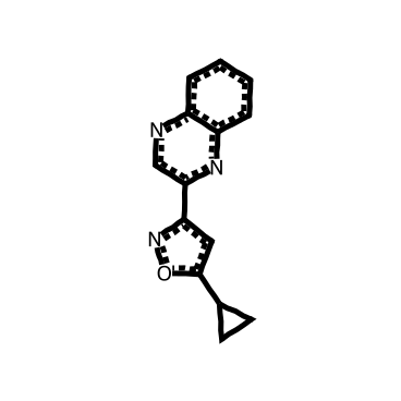 c1ccc2nc(-c3cc(C4CC4)on3)cnc2c1